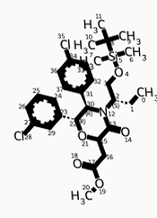 CC[C@@H](CO[Si](C)(C)C(C)(C)C)N1C(=O)C(CC(=O)OC)O[C@H](c2cccc(Cl)c2)[C@H]1c1ccc(Cl)cc1